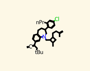 C=C=C(CC(C)(C)C)c1ccc2c(c1)N(CC1C(C)CC1CCC(=C)C)CC(c1ccc(Cl)cc1CCC)CC2